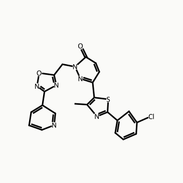 Cc1nc(-c2cccc(Cl)c2)sc1-c1ccc(=O)n(Cc2nc(-c3cccnc3)no2)n1